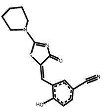 N#Cc1ccc(O)c(C=C2SC(N3CCCCC3)=NC2=O)c1